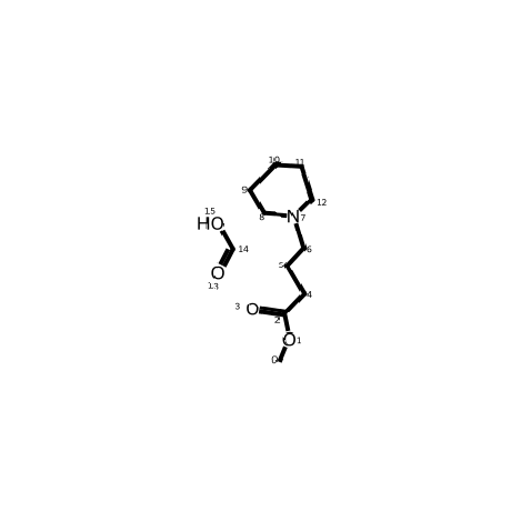 COC(=O)CCCN1CCCCC1.O=CO